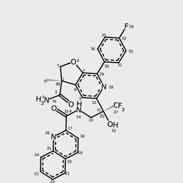 C[C@]1(C(N)=O)COc2c1cc([C@@](O)(CNC(=O)c1ccc3ccccc3n1)C(F)(F)F)nc2-c1ccc(F)cc1